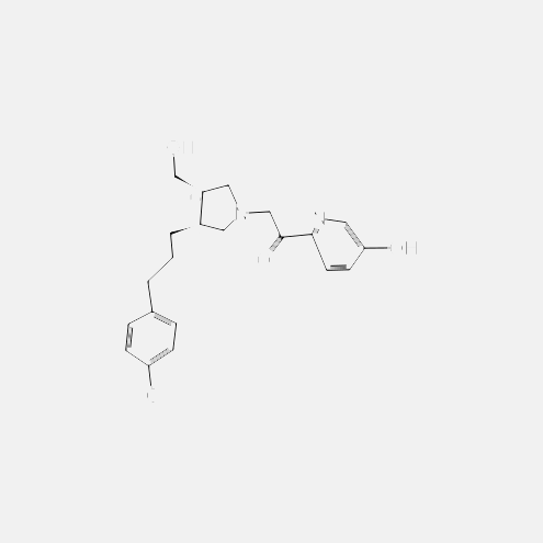 O=C(CN1C[C@@H](CCCc2ccc(Cl)cc2)[C@@H](CO)C1)c1ccc(O)cn1